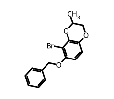 CC1COc2ccc(OCc3ccccc3)c(Br)c2O1